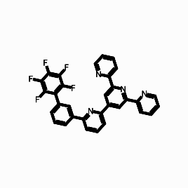 Fc1c(F)c(F)c(-c2cccc(-c3cccc(-c4cc(-c5ccccn5)nc(-c5ccccn5)c4)n3)c2)c(F)c1F